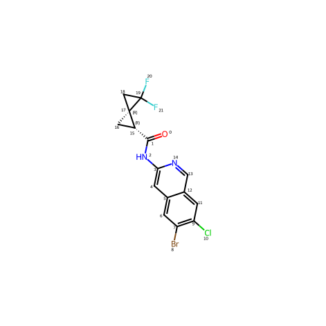 O=C(Nc1cc2cc(Br)c(Cl)cc2cn1)[C@@H]1C[C@@]12CC2(F)F